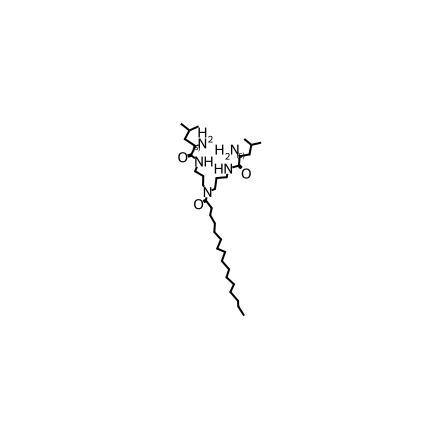 CCCCCCCCCCCCCCCC(=O)N(CCCNC(=O)[C@@H](N)CC(C)C)CCCNC(=O)[C@@H](N)CC(C)C